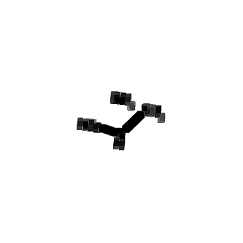 [BiH3].[SiH3]B[TeH]